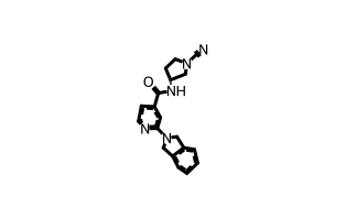 N#CN1CC[C@@H](NC(=O)c2ccnc(N3Cc4ccccc4C3)c2)C1